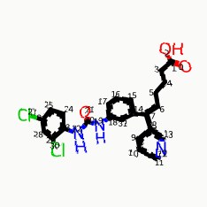 O=C(O)CCCC=C(c1cccnc1)c1cccc(NC(=O)Nc2ccc(Cl)cc2Cl)c1